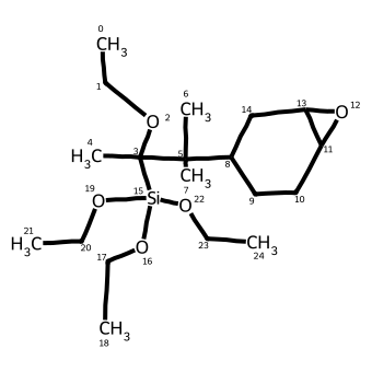 CCOC(C)(C(C)(C)C1CCC2OC2C1)[Si](OCC)(OCC)OCC